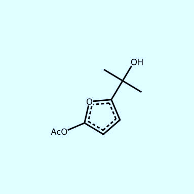 CC(=O)Oc1ccc(C(C)(C)O)o1